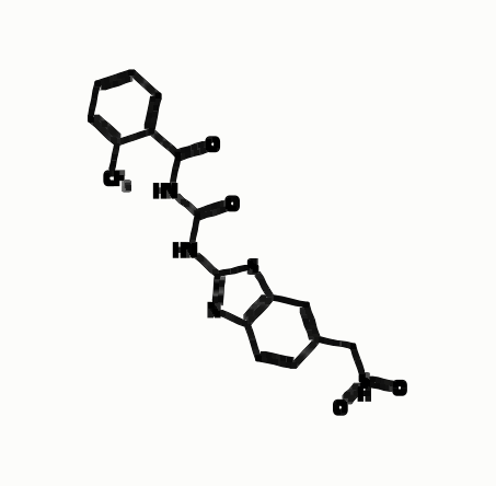 O=C(NC(=O)c1ccccc1C(F)(F)F)Nc1nc2ccc(C[SH](=O)=O)cc2s1